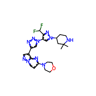 CC1(C)C[C@@H](n2cc(-n3cc(-c4cnn5ccc(N6CCOCC6)nc45)nn3)c(C(F)F)n2)CCN1